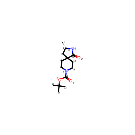 C[C@H]1CC2(CCN(C(=O)OC(C)(C)C)CC2)C(=O)N1